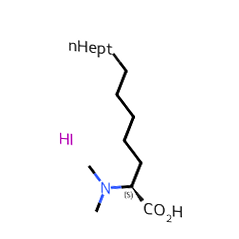 CCCCCCCCCCCC[C@@H](C(=O)O)N(C)C.I